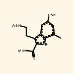 CNC(=O)c1[nH]c2c(F)cc(OC)cc2c1CCNC(C)=O